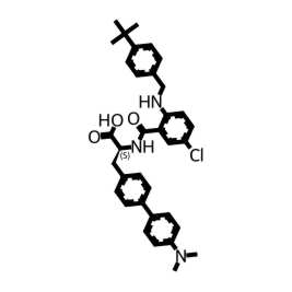 CN(C)c1ccc(-c2ccc(C[C@H](NC(=O)c3cc(Cl)ccc3NCc3ccc(C(C)(C)C)cc3)C(=O)O)cc2)cc1